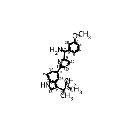 COc1cccc(C(N)c2csc(-c3ccc4[nH]cc(C(C)N(C)C)c4c3)n2)c1